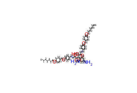 CCCCCCCOC1CCC(COc2ccc(/C=C/C(=O)C(O)C(c3ccc(N)cc3N)C(O)C(=O)/C=C/c3ccc(OCC4CCC(OCCCCCCC)CC4)cc3)cc2)CC1